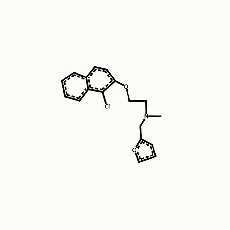 CN(CCOc1ccc2ccccc2c1Cl)Cc1ccco1